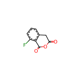 O=C1Cc2cccc(F)c2C(=O)O1